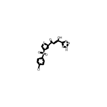 O=C(C=C(O)c1nn[nH]n1)c1cc(S(=O)(=O)c2ccc(Cl)cc2)cs1